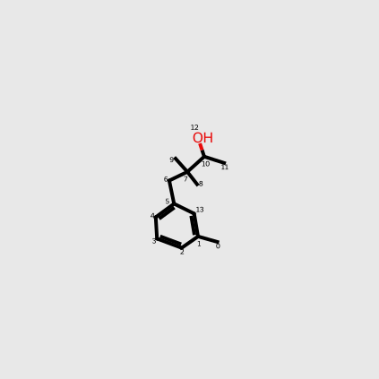 Cc1cccc(CC(C)(C)C(C)O)c1